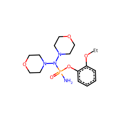 CCOc1ccccc1OP(N)(=O)N(N1CCOCC1)N1CCOCC1